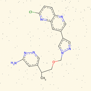 CC(COCn1cc(-c2cnc3ccc(Cl)nc3c2)cn1)c1cnnc(N)c1